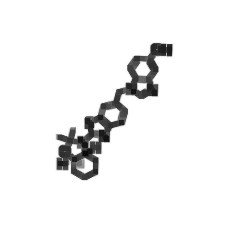 CC1(C)O[C@@H]2CCCC[C@H]2N1c1nc2ccc(Cn3cnc4cc(O)ccc43)cc2s1